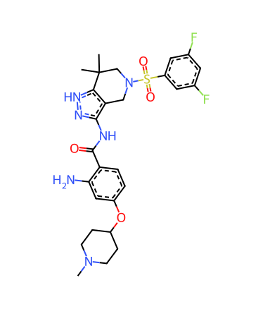 CN1CCC(Oc2ccc(C(=O)Nc3n[nH]c4c3CN(S(=O)(=O)c3cc(F)cc(F)c3)CC4(C)C)c(N)c2)CC1